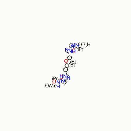 CCC1(CC)c2ccc(-c3cnc([C@@H]4CCCN4C(=O)C(NC(=O)O)C(C)C)[nH]3)cc2Oc2cc3ccc(-c4cnc([C@@H]5CCCN5C(=O)C(NC(=O)OC)C(C)C)[nH]4)cc3cc21